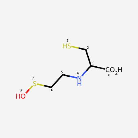 O=C(O)C(CS)NCCSO